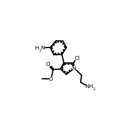 COC(=O)c1cn(CCN)c(Cl)c1-c1cccc(N)c1